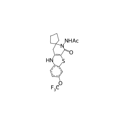 CC(=O)NN1C(=O)C2=C(CC13CCCC3)Nc1ccc(OC(F)(F)F)cc1S2